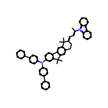 C/C(=C\C=C1/CCc2cc3c(cc2C1(C)C)-c1ccc(N(c2ccc(-c4ccccc4)cc2)c2ccc(-c4ccccc4)cc2)cc1C3(C)C)n1c2ccccc2c2ccccc21